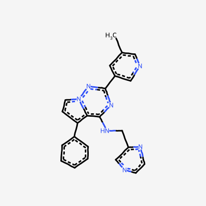 Cc1cncc(-c2nc(NCc3cnccn3)c3c(-c4ccccc4)ccn3n2)c1